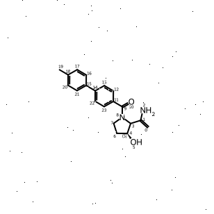 C=C(N)C1[C@@H](O)CCN1C(=O)c1ccc(-c2ccc(C)cc2)cc1